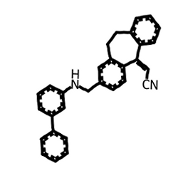 N#CC=C1c2ccccc2CCc2cc(CNc3cccc(-c4ccccc4)c3)ccc21